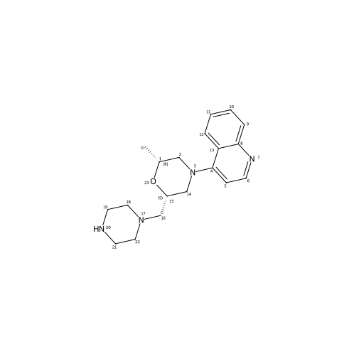 C[C@@H]1CN(c2ccnc3ccccc23)C[C@H](CN2CCNCC2)O1